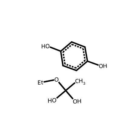 CCOC(C)(O)O.Oc1ccc(O)cc1